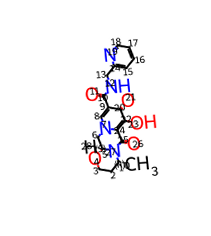 C[C@@H]1CCO[C@H]2Cn3cc(C(=O)NCc4ccccn4)c(=O)c(O)c3C(=O)N12